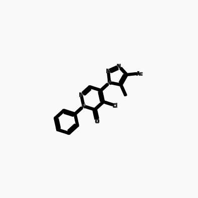 CC(=O)c1nnn(-c2cnn(-c3ccccc3)c(=O)c2Cl)c1C